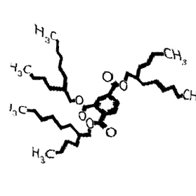 CCCCCCC(CCCC)COC(=O)c1ccc(C(=O)OCC(CCCC)CCCCCC)c(C(=O)OCC(CCCC)CCCCCC)c1